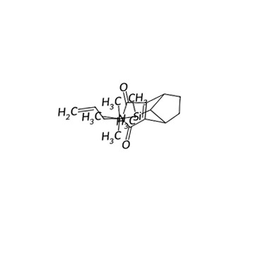 C=CCN1C(=O)C2=C(C1=O)C1CCC2C1[Si](C)(C)C(C)(C)C